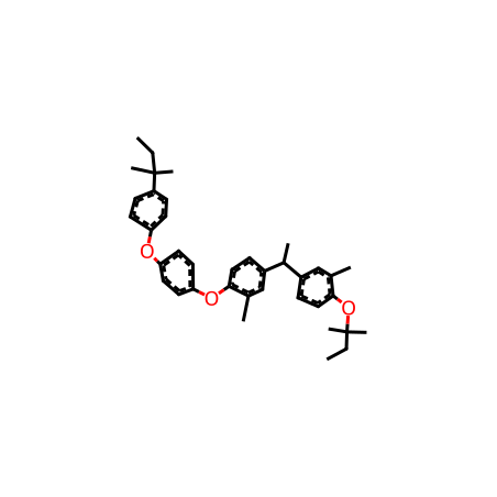 CCC(C)(C)Oc1ccc(C(C)c2ccc(Oc3ccc(Oc4ccc(C(C)(C)CC)cc4)cc3)c(C)c2)cc1C